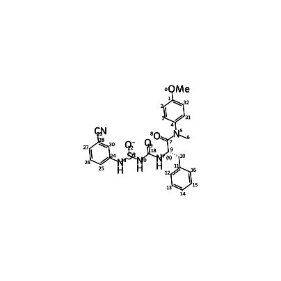 COc1ccc(N(C)C(=O)[C@H](Cc2ccccc2)NC(=O)N[S+]([O-])Nc2cccc(C#N)c2)cc1